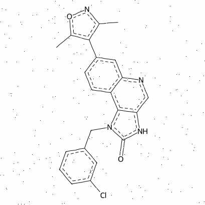 Cc1noc(C)c1-c1ccc2c(c1)ncc1[nH]c(=O)n(Cc3cccc(Cl)c3)c12